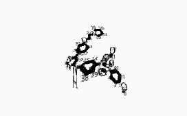 COc1ccc(S(=O)(=O)N(OC=O)c2ccc(Nc3cc(-c4ccc(OCCN5CCCC5)cc4)ncn3)cc2)cc1